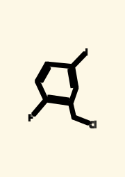 Fc1ccc(I)cc1CCl